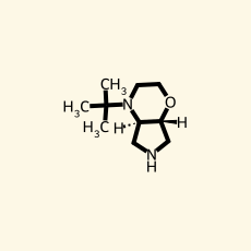 CC(C)(C)N1CCO[C@@H]2CNC[C@H]21